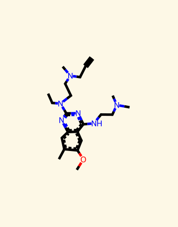 C#CCN(C)CCN(CC)c1nc(NCCN(C)C)c2cc(OC)c(C)cc2n1